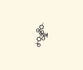 C=C(C)C(=O)NC(=CS(=O)(=O)c1ccc(C)cc1)c1ccc(C(C)=O)cc1